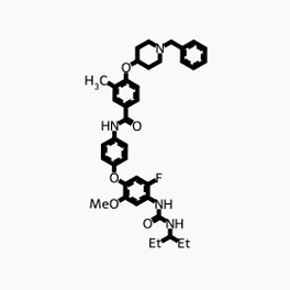 CCC(CC)NC(=O)Nc1cc(OC)c(Oc2ccc(NC(=O)c3ccc(OC4CCN(Cc5ccccc5)CC4)c(C)c3)cc2)cc1F